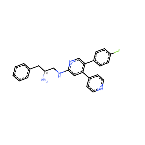 N[C@@H](CNc1cc(-c2ccncc2)c(-c2ccc(F)cc2)cn1)Cc1ccccc1